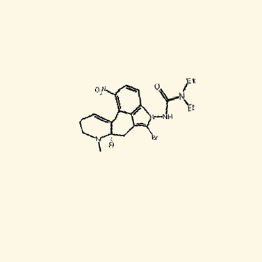 CCN(CC)C(=O)Nn1c(Br)c2c3c(c([N+](=O)[O-])ccc31)C1=CCCN(C)[C@@H]1C2